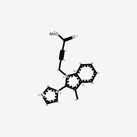 COC(=O)C#CCn1c(-n2ccnc2)c(C)c2ccccc21